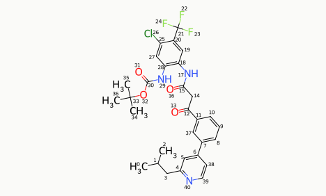 CC(C)Cc1cc(-c2cccc(C(=O)CC(=O)Nc3cc(C(F)(F)F)c(Cl)cc3NC(=O)OC(C)(C)C)c2)ccn1